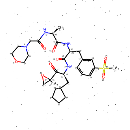 C[C@H](NC(=O)CN1CCOCC1)C(=O)N[C@@H](Cc1cccc(S(C)(=O)=O)c1)C(=O)N[C@@H](CC1CCCC1)C(=O)[C@]1(C)CO1